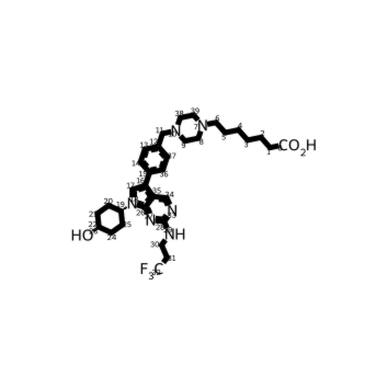 O=C(O)CCCCCCN1CCN(Cc2ccc(-c3cn([C@H]4CC[C@H](O)CC4)c4nc(NCCC(F)(F)F)ncc34)cc2)CC1